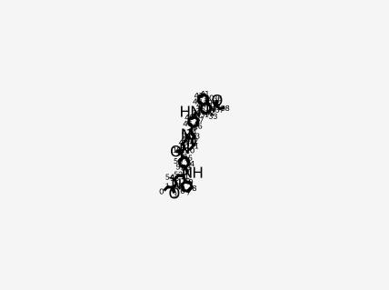 CCC(=O)N1c2ccccc2[C@H](Nc2ccc(C(=O)N3CCn4cc(-c5ccc(N[C@@H]6C[C@H](C)N(C(=O)CC)c7ccccc76)cc5)nc4C3)cc2)C[C@@H]1C